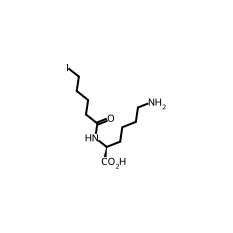 NCCCC[C@H](NC(=O)CCCCI)C(=O)O